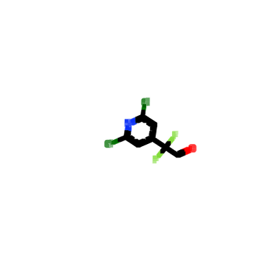 O=CC(F)(F)c1cc(Cl)nc(Cl)c1